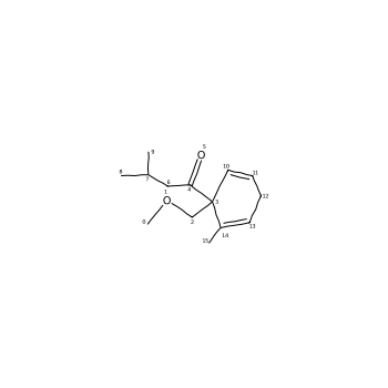 COCC1(C(=O)CC(C)C)C=CCC=C1C